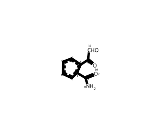 NC(=O)c1ccccc1C(=O)C=O